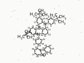 CC(C)(C)c1ccc(N2c3cc(C(C)(C)C)ccc3B3c4ccc(C(C)(C)C)cc4N(c4ccc(-c5cccc6oc7ccccc7c56)cc4)c4cccc2c43)cc1